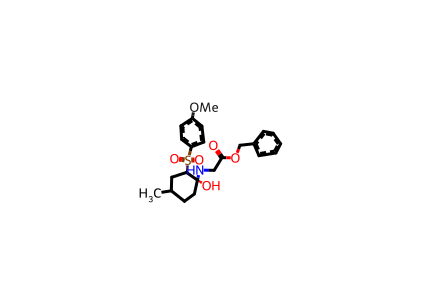 COc1ccc(S(=O)(=O)[C@@H]2CC(C)CC[C@@]2(O)NCC(=O)OCc2ccccc2)cc1